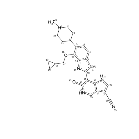 CN1CCC(c2ccc3[nH]c(-c4c(=O)[nH]cc5c(C#N)c[nH]c45)nc3c2OCC2CC2)CC1